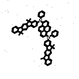 CC1c2ccccc2-c2cc3c(cc21)-c1ccc(N(c2ccccc2)c2ccc4ccc5c(N(c6ccccc6)c6ccc7c(c6)C(C)(C)c6cc8c(cc6-7)C(C)(C)c6ccccc6-8)ccc6ccc2c4c65)cc1C3(C)C